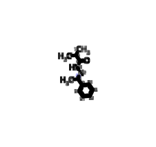 C/C(=N\NC(=O)C(C)C)c1ccccc1